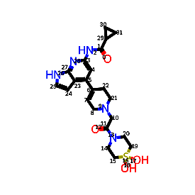 O=C(Nc1cc(C2=CCN(CC(=O)N3CCS(O)(O)CC3)CC2)c2cc[nH]c2n1)C1CC1